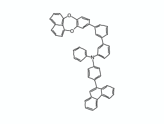 c1ccc(N(c2ccc(-c3cc4ccccc4c4ccccc34)cc2)c2cccc(-c3cccc(-c4ccc5c(c4)Oc4cccc6cccc(c46)O5)c3)c2)cc1